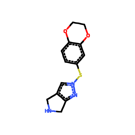 c1cc2c(cc1Sn1cc3c(n1)CNC3)OCCO2